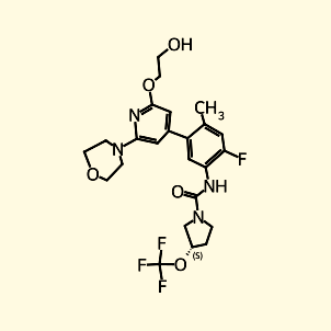 Cc1cc(F)c(NC(=O)N2CC[C@H](OC(F)(F)F)C2)cc1-c1cc(OCCO)nc(N2CCOCC2)c1